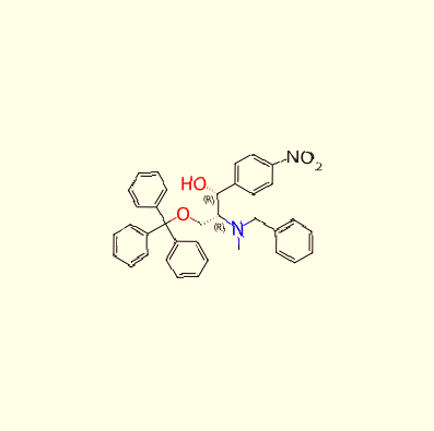 CN(Cc1ccccc1)[C@H](COC(c1ccccc1)(c1ccccc1)c1ccccc1)[C@H](O)c1ccc([N+](=O)[O-])cc1